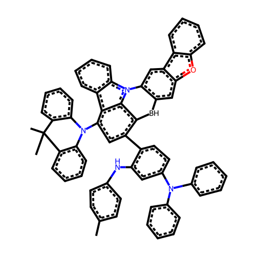 Cc1ccc(Nc2cc(N(c3ccccc3)c3ccccc3)ccc2-c2cc(N3c4ccccc4C(C)(C)c4ccccc43)c3c4ccccc4n4c3c2Bc2cc3oc5ccccc5c3cc2-4)cc1